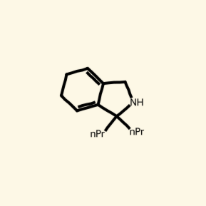 CCCC1(CCC)NCC2=CCCC=C21